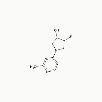 Cc1cc(N2CC(O)C(F)C2)ccn1